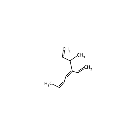 C=C/C(=C\C=C/C)C(C)C=C